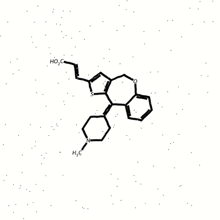 CN1CCC(=C2c3ccccc3OCc3cc(C=CC(=O)O)sc32)CC1